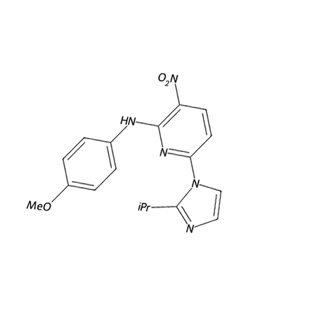 COc1ccc(Nc2nc(-n3ccnc3C(C)C)ccc2[N+](=O)[O-])cc1